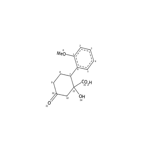 COc1ccccc1C1CCC(=O)CC1(O)C(=O)O